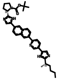 CCCC[C@H](C)c1ncc(-c2ccc(-c3ccc4cc(-c5cnc([C@@H]6CCCN6C(=O)OC(C)(C)C)[nH]5)ccc4c3)nc2)[nH]1